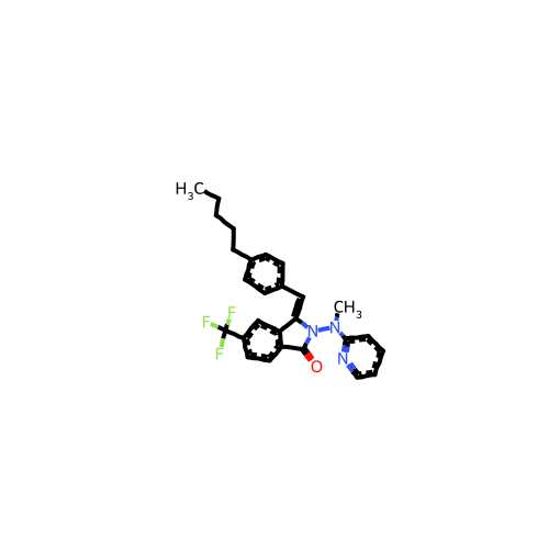 CCCCCc1ccc(C=C2c3cc(C(F)(F)F)ccc3C(=O)N2N(C)c2ccccn2)cc1